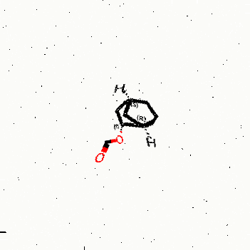 O=CO[C@@H]1C[C@H]2CC[C@@H]1C2